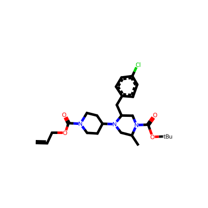 C=CCOC(=O)N1CCC(N2CC(C)N(C(=O)OC(C)(C)C)CC2Cc2ccc(Cl)cc2)CC1